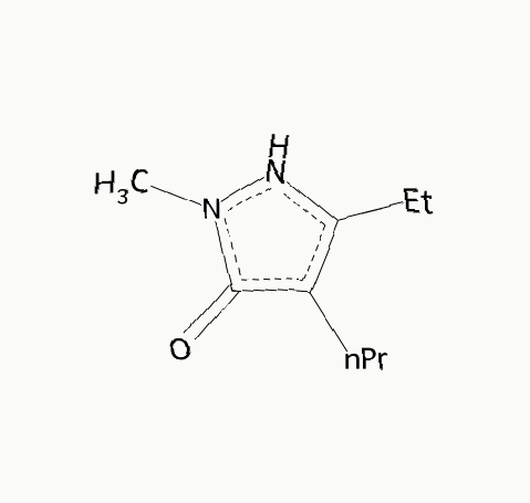 CCCc1c(CC)[nH]n(C)c1=O